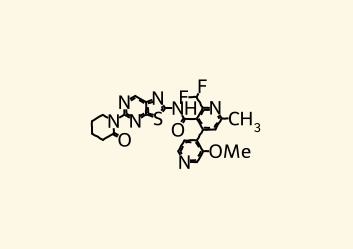 COc1cnccc1-c1cc(C)nc(C(F)F)c1C(=O)Nc1nc2cnc(N3CCCCC3=O)nc2s1